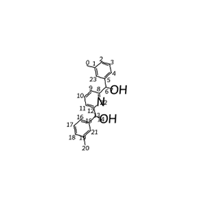 Cc1cccc(C(O)c2cccc(C(O)c3cccc(C)c3)n2)c1